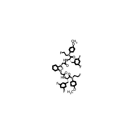 COc1ccc(N(CCF)C(=O)[C@H](Cc2cc(F)cc(F)c2)NC(=O)CN2SN(CC(=O)N[C@@H](Cc3cc(F)cc(F)c3)C(=O)N(CCF)c3ccc(OC)cc3)c3ccccc32)cc1